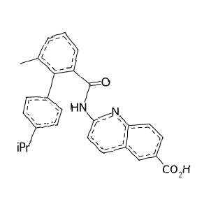 Cc1cccc(C(=O)Nc2ccc3cc(C(=O)O)ccc3n2)c1-c1ccc(C(C)C)cc1